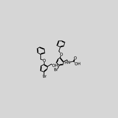 O=C(O)NCc1cc(Br)ccc1OCc1ccccc1.OCc1cc(Br)ccc1OCc1ccccc1